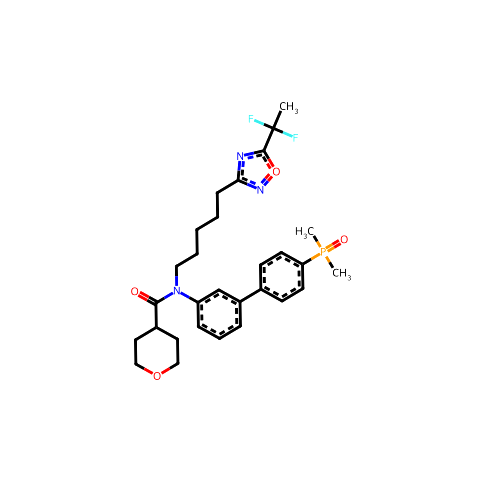 CC(F)(F)c1nc(CCCCCN(C(=O)C2CCOCC2)c2cccc(-c3ccc(P(C)(C)=O)cc3)c2)no1